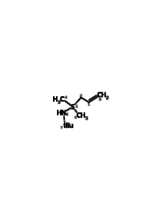 C=CCS(C)(C)NC(C)(C)C